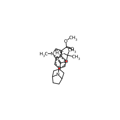 COC(=O)c1cn(C)c2cc(N3C4CCC3CN(C(=O)OC(C)(C)C)C4)ccc12